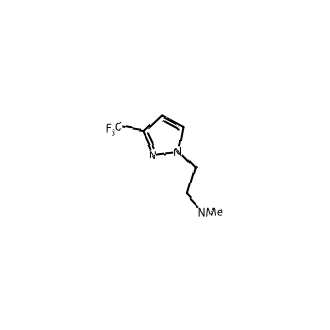 CNCCn1ccc(C(F)(F)F)n1